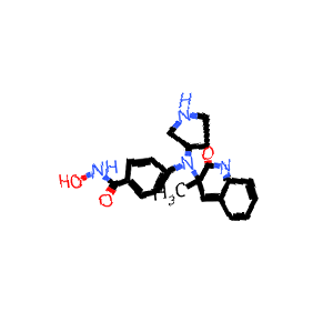 CC1(N(c2ccc(C(=O)NO)cc2)C2CCNC2)C=c2ccccc2=NC1=O